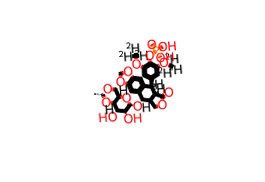 [2H]C([2H])([2H])Oc1cc([C@]2([2H])c3cc4c(cc3[C@@H](O[C@@H]3O[C@@H]5CO[C@@H](C)O[C@H]5[C@H](O)[C@H]3O)[C@H]3COC(=O)[C@@]32[2H])OCO4)cc(OC([2H])([2H])[2H])c1OP(=O)(O)O